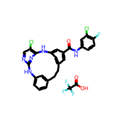 O=C(Nc1ccc(F)c(Cl)c1)c1cc2cc(c1)Nc1nc(ncc1Cl)Nc1cccc(c1)CC2.O=C(O)C(F)(F)F